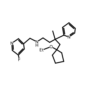 CCOC1(CC(C)(CCNCc2cncc(F)c2)c2ccccn2)CCCC1